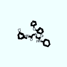 O=C(CN(CC(=O)NC1CCCCC1)c1ccccc1Oc1ccccc1)NCc1cccc(Cl)c1